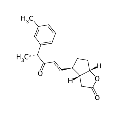 Cc1cccc([C@@H](C)C(=O)/C=C/[C@H]2CC[C@@H]3OC(=O)C[C@@H]32)c1